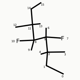 CCC(C)(C)C(C)(F)C(C)(F)C(C)(C)CC